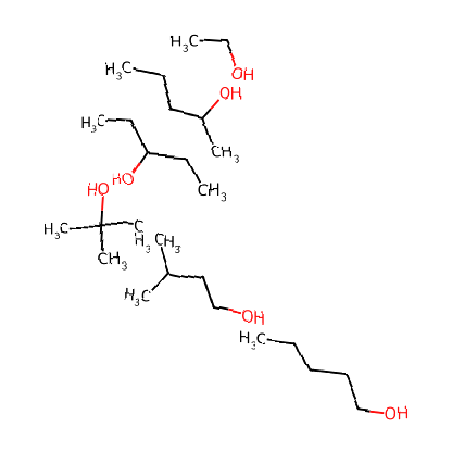 CC(C)(C)O.CC(C)CCO.CCC(O)CC.CCCC(C)O.CCCCCO.CCO